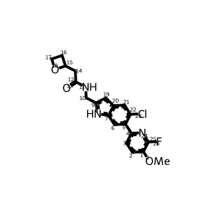 COc1ccc(-c2cc3[nH]c(CNC(=O)CC4CCO4)cc3cc2Cl)nc1F